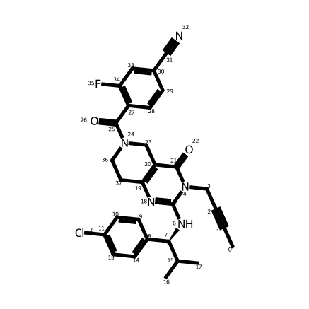 CC#CCn1c(N[C@H](c2ccc(Cl)cc2)C(C)C)nc2c(c1=O)CN(C(=O)c1ccc(C#N)cc1F)CC2